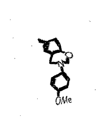 COc1ccc(N2COc3ccc(C)cc3C2)cc1